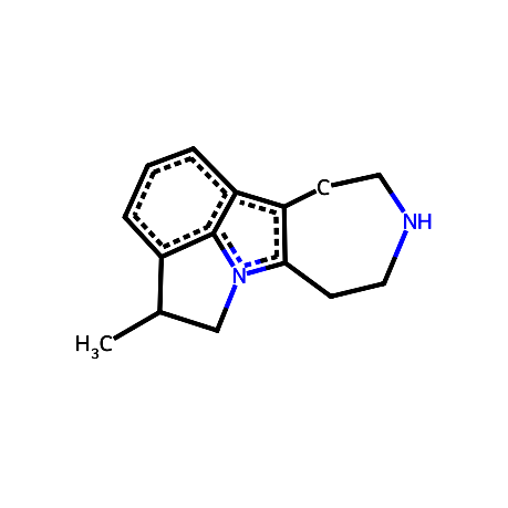 CC1Cn2c3c(c4cccc1c42)CCNCC3